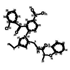 CCc1cc(CNC(=O)C(C)Oc2ccccc2)n(-c2ccc([N+](=O)[O-])cc2C(=O)c2ccccc2Cl)c1